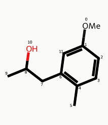 COc1ccc(C)c(CC(C)O)c1